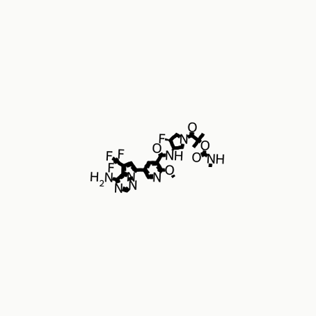 CNC(=O)OC(C)(C)C(=O)N1C[C@H](F)[C@H](NC(=O)c2cc(-c3cc(C(F)(F)F)c4c(N)ncnn34)cnc2OC)C1